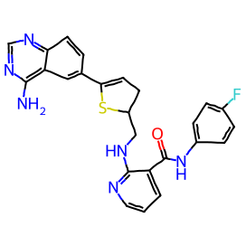 Nc1ncnc2ccc(C3=CCC(CNc4ncccc4C(=O)Nc4ccc(F)cc4)S3)cc12